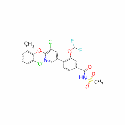 Cc1cccc(Cl)c1Oc1ncc(-c2ccc(C(=O)NS(C)(=O)=O)cc2OC(F)F)cc1Cl